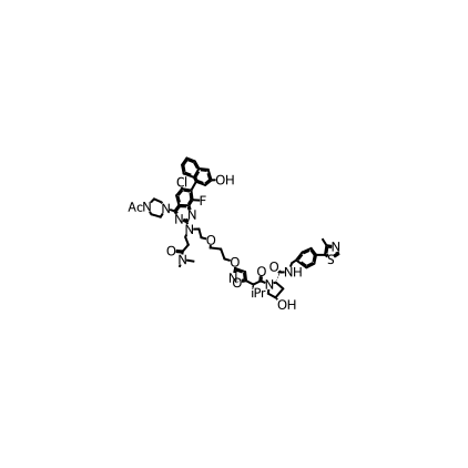 CC(=O)N1CCN(c2nc(N(CCOCCCOc3cc([C@@H](C(=O)N4C[C@H](O)C[C@H]4C(=O)NCc4ccc(-c5scnc5C)cc4)C(C)C)on3)CCC(=O)N(C)C)nc3c(F)c(-c4cc(O)cc5ccccc45)c(Cl)cc23)CC1